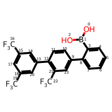 OB(O)c1ccccc1-c1ccc(-c2cc(C(F)(F)F)cc(C(F)(F)F)c2)c(C(F)(F)F)c1